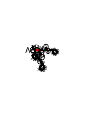 CC(=O)O[C@@H](CCC(=O)OCc1ccccc1)C(=O)N1[C@H](C(=O)OC(C)(C)C)CCCN1C(=O)OCc1ccccc1